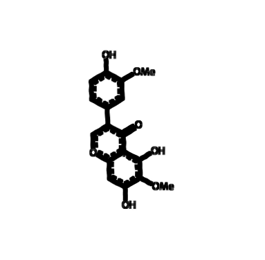 COc1cc(-c2coc3cc(O)c(OC)c(O)c3c2=O)ccc1O